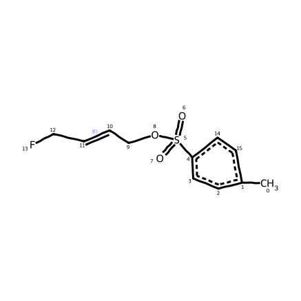 Cc1ccc(S(=O)(=O)OC/C=C/CF)cc1